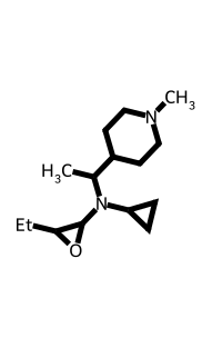 CCC1OC1N(C1CC1)C(C)C1CCN(C)CC1